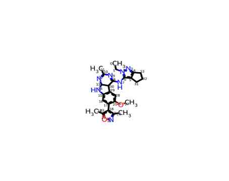 CCn1nc2c(c1NC1=NC(C)=NC3Nc4cc(-c5c(C)noc5C)c(OC)cc4C13)CCC2